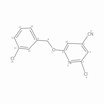 N#Cc1cc(Cl)nc(OCc2cccc(Cl)c2)c1